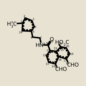 Cc1cccc(CCNC(=O)c2ccc(C=O)c3c(C=O)ccc(C(=O)O)c23)c1